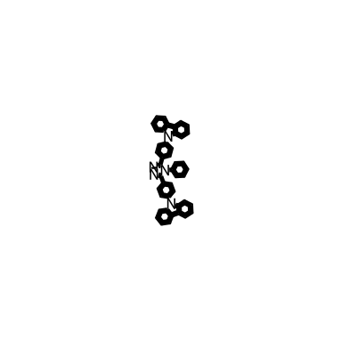 c1ccc(-n2c(-c3ccc(-n4c5ccccc5c5ccccc54)cc3)nnc2-c2ccc(-n3c4ccccc4c4ccccc43)cc2)cc1